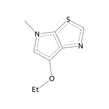 CCOc1cn(C)c2scnc12